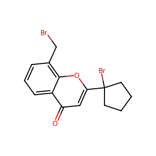 O=c1cc(C2(Br)CCCC2)oc2c(CBr)cccc12